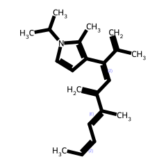 C=C(C)/C(=C/C(=C)/C(C)=C/C=C\C)c1ccn(C(C)C)c1C